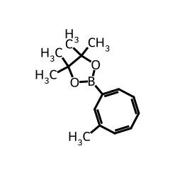 CC1=C/C(B2OC(C)(C)C(C)(C)O2)=C\C=C/C=C\1